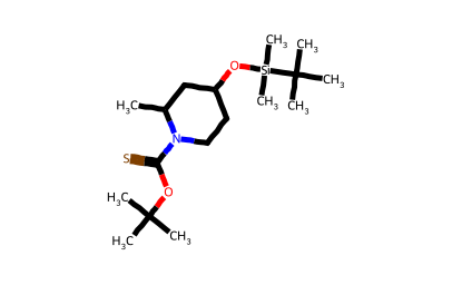 CC1CC(O[Si](C)(C)C(C)(C)C)CCN1C(=S)OC(C)(C)C